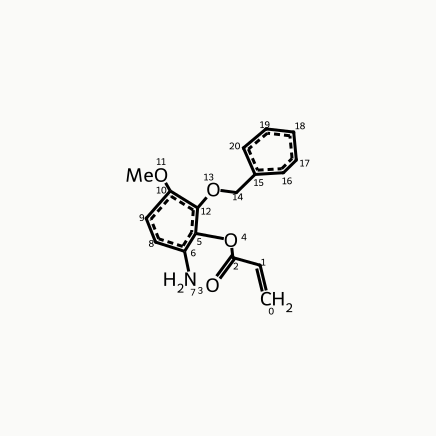 C=CC(=O)Oc1c(N)ccc(OC)c1OCc1ccccc1